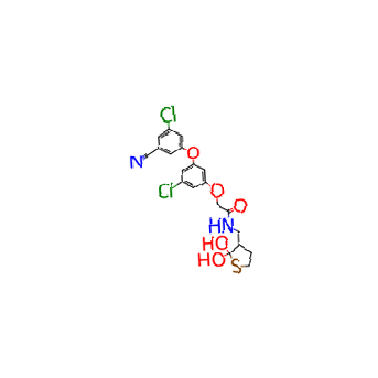 N#Cc1cc(Cl)cc(Oc2cc(Cl)cc(OCC(=O)NCC3CCSC3(O)O)c2)c1